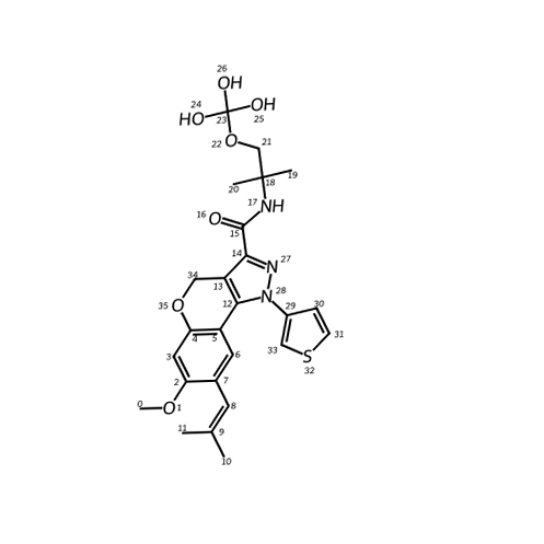 COc1cc2c(cc1C=C(C)C)-c1c(c(C(=O)NC(C)(C)COC(O)(O)O)nn1-c1ccsc1)CO2